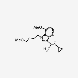 COCCCCn1cc(C(C)NC2CC2)c2nccc(OC)c21